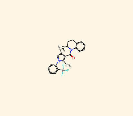 Cc1cn(-c2ccccc2C(F)(F)F)c(C)c1C(=O)N1c2ccccc2CCC1C